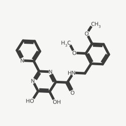 COc1cccc(CNC(=O)c2nc(-c3ccccn3)nc(O)c2O)c1OC